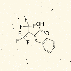 O=C(O)C(=Cc1ccccc1)C(C(F)(F)F)C(F)(F)F